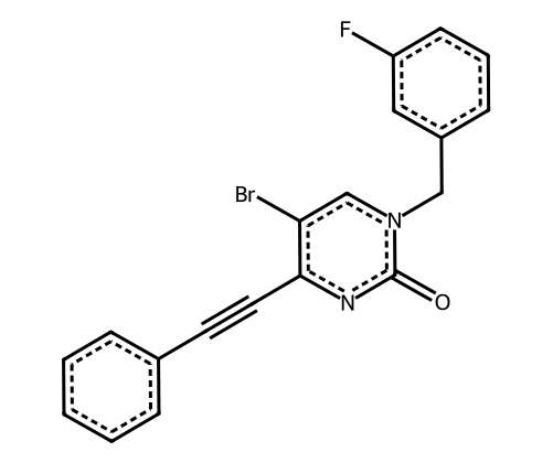 O=c1nc(C#Cc2ccccc2)c(Br)cn1Cc1cccc(F)c1